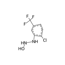 ONNc1cc(C(F)(F)F)ccc1Cl